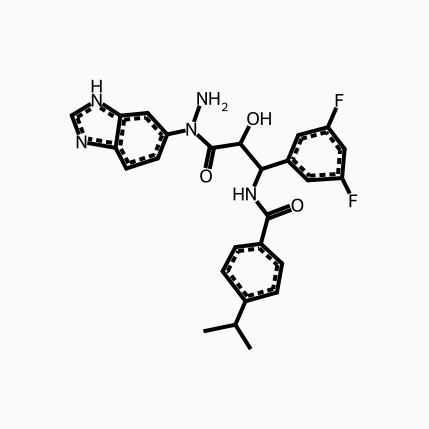 CC(C)c1ccc(C(=O)NC(c2cc(F)cc(F)c2)C(O)C(=O)N(N)c2ccc3nc[nH]c3c2)cc1